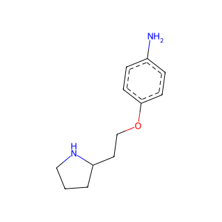 Nc1ccc(OCCC2CCCN2)cc1